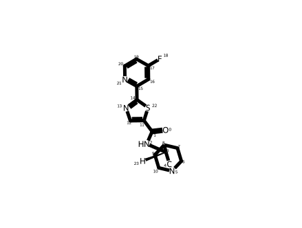 O=C(N[C@H]1CN2CCC1CC2)c1cnc(-c2cc(F)ccn2)s1